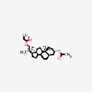 C=CC(=O)OC[C@@H](C)C1CCC2C3=CCC4C[C@@H](OC(C)=O)CC[C@]4(C)C3CC[C@@]21C